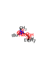 C=CCn1c(=O)n(CC(O)COC(=O)CC(O)C(=O)OC(C)(C)CC)c(=O)n(CC(O)CC(C)(C)C)c1=O